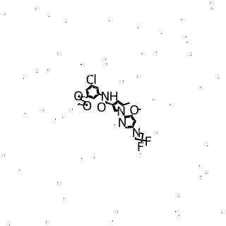 COc1cc(N2CC(F)(F)C2)cnc1-n1cc(C(=O)Nc2cc(Cl)cc(S(C)(=O)=O)c2)cc1C